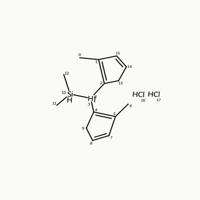 CC1=[C]([Hf]([C]2=C(C)C=CC2)[SiH](C)C)CC=C1.Cl.Cl